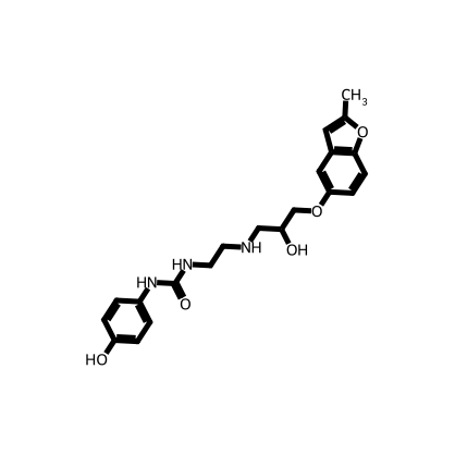 Cc1cc2cc(OCC(O)CNCCNC(=O)Nc3ccc(O)cc3)ccc2o1